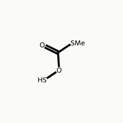 CSC(=O)OS